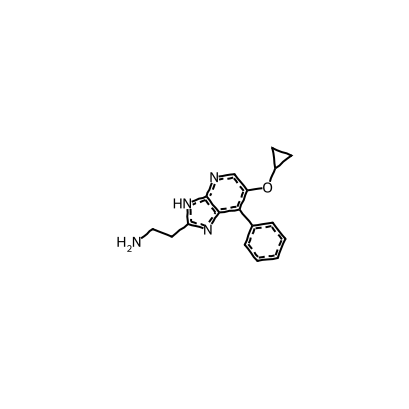 NCCc1nc2c(-c3ccccc3)c(OC3CC3)cnc2[nH]1